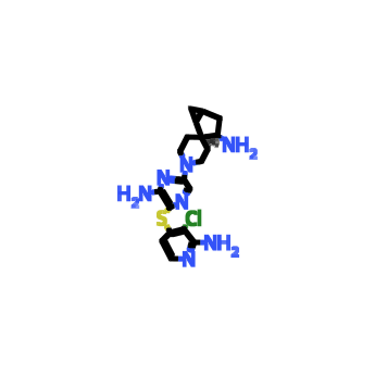 Nc1nc(N2CCC3(CC2)C2CC2C[C@H]3N)cnc1Sc1ccnc(N)c1Cl